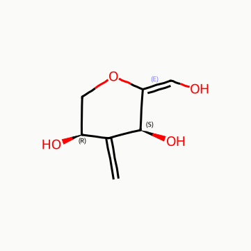 C=C1[C@@H](O)CO/C(=C/O)[C@H]1O